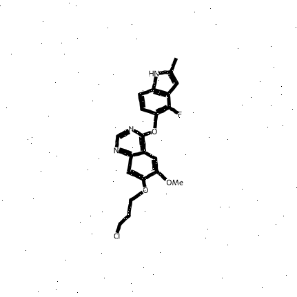 COc1cc2c(Oc3ccc4[nH]c(C)cc4c3F)ncnc2cc1OCCCCl